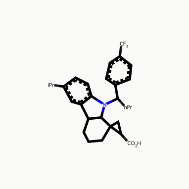 CCCC(c1ccc(C(F)(F)F)cc1)N1c2ccc(C(C)C)cc2C2CCCC3(CC3C(=O)O)C21